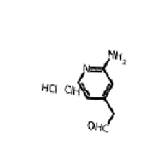 Cl.Cl.Nc1cc(CC=O)ccn1